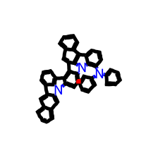 c1ccc(N(c2ccccc2)c2cccc3c4c5ccccc5cc5c6c7c8cccc9c%10cc%11ccccc%11cc%10n(c7ccc6n(c23)c54)c98)cc1